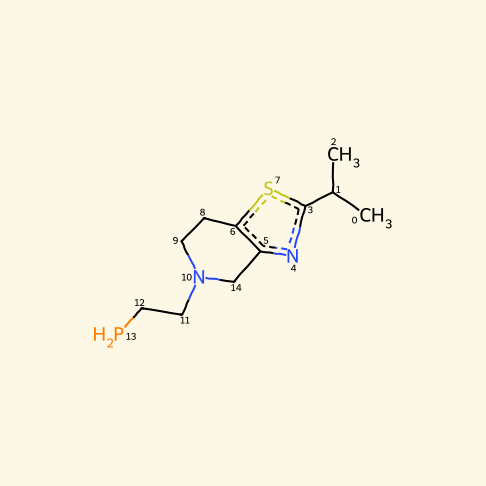 CC(C)c1nc2c(s1)CCN(CCP)C2